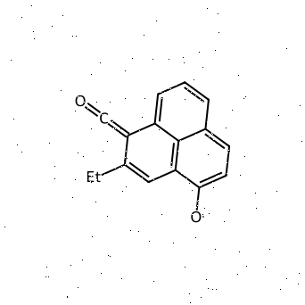 [CH2]Cc1cc2c([O])ccc3cccc(c1=C=O)c32